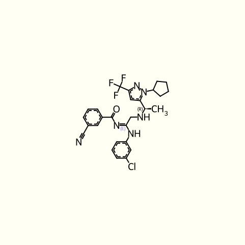 C[C@@H](NC/C(=N\C(=O)c1cccc(C#N)c1)Nc1cccc(Cl)c1)c1cc(C(F)(F)F)nn1C1CCCC1